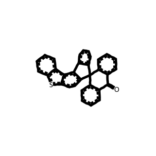 O=C1c2ccccc2C2(c3ccccc31)c1ccccc1-c1c2ccc2sc3ccccc3c12